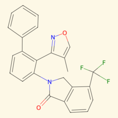 Cc1conc1-c1c(-c2ccccc2)cccc1N1Cc2c(cccc2C(F)(F)F)C1=O